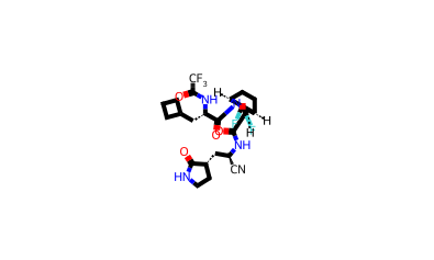 N#C[C@@H](C[C@@H]1CCNC1=O)NC(=O)[C@@H]1[C@@H]2CC[C@@H](CC2(F)F)N1C(=O)[C@H](CC1CCC1)NC(=O)C(F)(F)F